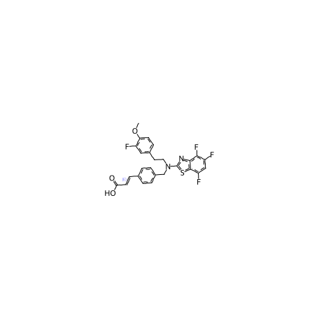 COc1ccc(CCN(Cc2ccc(/C=C/C(=O)O)cc2)c2nc3c(F)c(F)cc(F)c3s2)cc1F